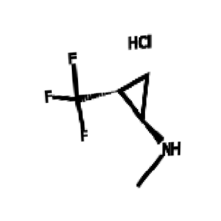 CN[C@@H]1C[C@H]1C(F)(F)F.Cl